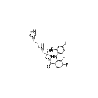 O=C(c1ccc(F)c(F)c1Nc1ccc(I)cc1F)N1CC(O)(CNCCCn2ccnc2)C1